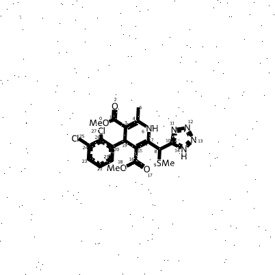 COC(=O)C1=C(C)NC(C(SC)c2nnn[nH]2)=C(C(=O)OC)C1c1cccc(Cl)c1Cl